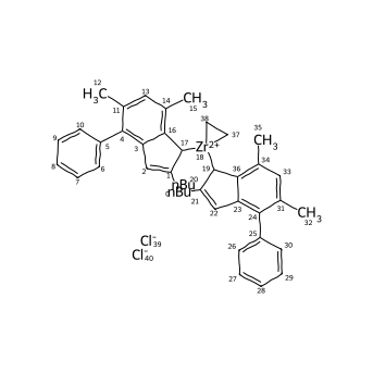 CCCCC1=Cc2c(-c3ccccc3)c(C)cc(C)c2[CH]1[Zr+2]1([CH]2C(CCCC)=Cc3c(-c4ccccc4)c(C)cc(C)c32)[CH2][CH2]1.[Cl-].[Cl-]